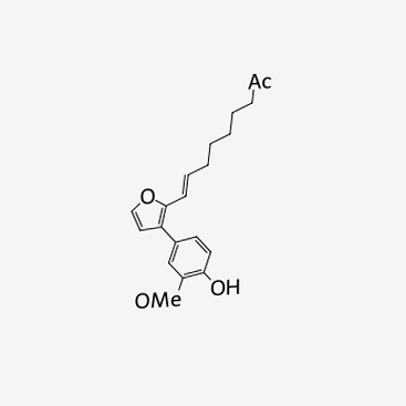 COc1cc(-c2ccoc2/C=C/CCCCCC(C)=O)ccc1O